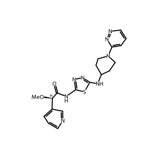 CO[C@@H](C(=O)Nc1nnc(NC2CCN(c3cccnn3)CC2)s1)c1cccnc1